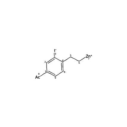 CC(=O)c1ccc(C[CH2][Zn+])cc1.[I-]